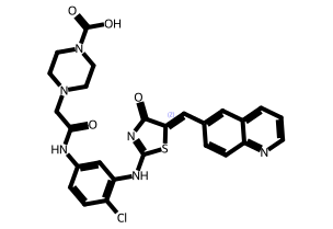 O=C(CN1CCN(C(=O)O)CC1)Nc1ccc(Cl)c(NC2=NC(=O)/C(=C/c3ccc4ncccc4c3)S2)c1